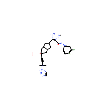 Cn1cnc(C2CC3CC(O)(C#CC(C)(C)n4ccnn4)CC3C2)c1C(=O)Nc1ccc(F)c(Cl)c1